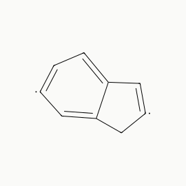 [C]1=Cc2cc[c]cc2C1